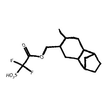 CC1CC2C3CCC(C3)C2CC1COC(=O)C(F)(F)S(=O)(=O)O